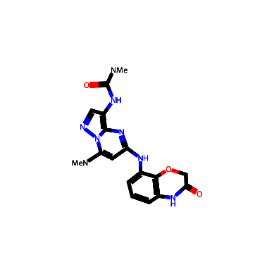 CNC(=O)Nc1cnn2c(NC)cc(Nc3cccc4c3OCC(=O)N4)nc12